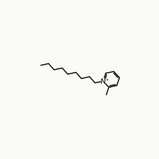 CCCCCCCCC[n+]1ccccc1C